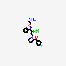 Cl.Cl.NCCO/N=C(/CCCN1CCCCC1C(=O)c1ccc(F)cc1)c1ccccc1